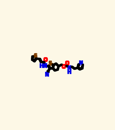 N#Cc1c(NC(=O)C=Cc2cccs2)sc2c1CCC(COC(=O)NCCc1cccnc1)C2